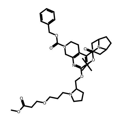 COC(=O)CCOCCCN1CCCC1COc1nc2c(c(N3CC4CCC(C3)N4C(=O)OC(C)(C)C)n1)CCN(C(=O)OCc1ccccc1)C2